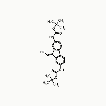 CC(C)(C)OC(=O)Nc1ccc2c(c1)C(=CO)c1cc(NC(=O)OC(C)(C)C)ccc1-2